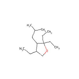 CCC1COC(CC)(CC)C1CC(C)C